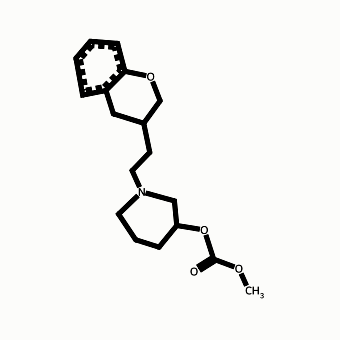 COC(=O)OC1CCCN(CCC2COc3ccccc3C2)C1